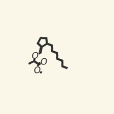 CCCCCCCC1CCCC1=COC(C)C(=O)OC